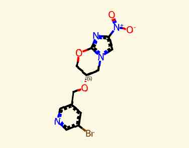 O=[N+]([O-])c1cn2c(n1)OC[C@@H](OCc1cncc(Br)c1)C2